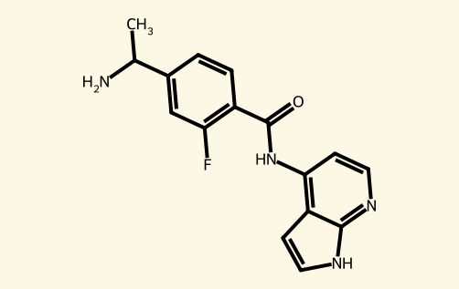 CC(N)c1ccc(C(=O)Nc2ccnc3[nH]ccc23)c(F)c1